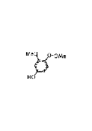 COOc1ccc(O)cc1OC